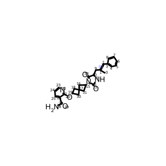 C/C(=C\c1ccccc1)CC1NC(=O)N(C2CC3(CC(Oc4ncccc4C(N)=O)C3)C2)C1=O